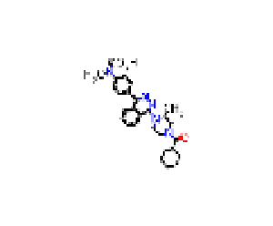 CC1CN(C(=O)C2CCCCC2)CCN1c1nnc(-c2ccc(N(C)C(=O)O)cc2)c2ccccc12